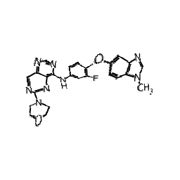 Cn1cnc2cc(Oc3ccc(Nc4ncnc5cnc(N6CCOCC6)nc45)cc3F)ccc21